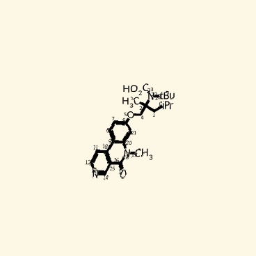 CC(C)CC(C)(COc1ccc2c3ccncc3c(=O)n(C)c2c1)N(C(=O)O)C(C)(C)C